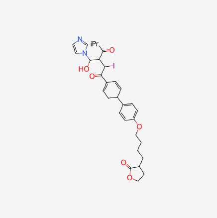 CC(C)C(=O)C(C(I)C(=O)C1=CCC(c2ccc(OCCCCC3CCOC3=O)cc2)C=C1)C(O)n1ccnc1